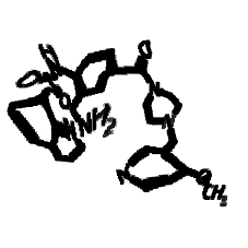 COc1ccncc1CN1CCN(C(=O)c2ccc(NS(=O)(=O)c3cccc4cccnc34)c(CN)c2)CC1